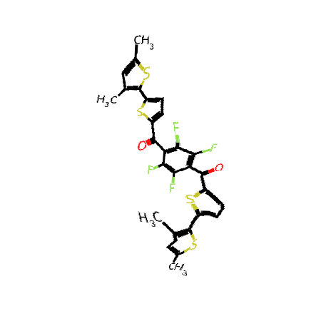 Cc1cc(C)c(-c2ccc(C(=O)c3c(F)c(F)c(C(=O)c4ccc(-c5sc(C)cc5C)s4)c(F)c3F)s2)s1